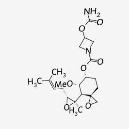 CO[C@@H]1[C@H](OC(=O)N2CC(OC(N)=O)C2)CC[C@]2(CO2)[C@H]1[C@@]1(C)O[C@@H]1CC=C(C)C